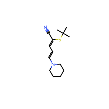 CC(C)(C)SC(C#N)=CC=CN1CCCCC1